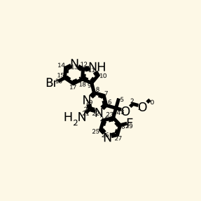 COCOC(C)(c1cc(-c2c[nH]c3ncc(Br)cc23)nc(N)n1)c1ccncc1F